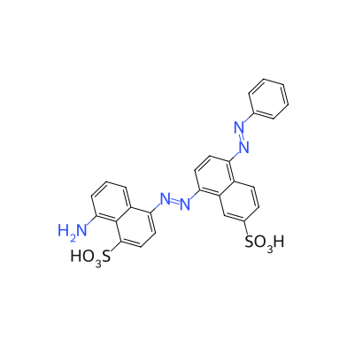 Nc1cccc2c(/N=N/c3ccc(/N=N/c4ccccc4)c4ccc(S(=O)(=O)O)cc34)ccc(S(=O)(=O)O)c12